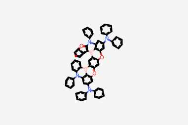 c1ccc(N(c2ccccc2)c2cc3c4c(c2)N(c2ccccc2)c2ccccc2B4c2cc4c(cc2O3)Oc2cc(N(c3ccccc3)c3ccccc3)cc3c2B4c2c(oc4ccccc24)N3c2ccccc2)cc1